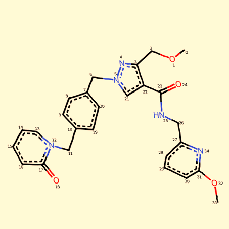 COCc1nn(Cc2ccc(Cn3ccccc3=O)cc2)cc1C(=O)NCc1cccc(OC)n1